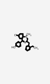 CCc1ccccc1CC1CN(C)c2ccc(Cl)cc2C(c2ccc(O)cc2)=N1